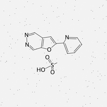 CS(=O)(=O)O.c1ccc(-c2cc3cnncc3o2)nc1